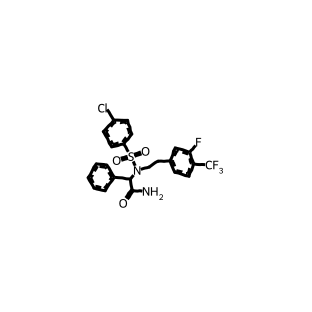 NC(=O)C(c1ccccc1)N(CCc1ccc(C(F)(F)F)c(F)c1)S(=O)(=O)c1ccc(Cl)cc1